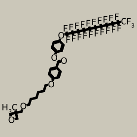 CC1(COCCCCCCOc2ccc(C(=O)Oc3ccc(OC(F)(F)C(F)(F)C(F)(F)C(F)(F)C(F)(F)C(F)(F)C(F)(F)C(F)(F)C(F)(F)C(F)(F)C(F)(F)F)cc3)cc2)COC1